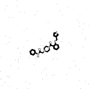 O=C(CN1CCN(C(=O)c2ccccc2SCc2ccsc2)CC1)Nc1ccccc1